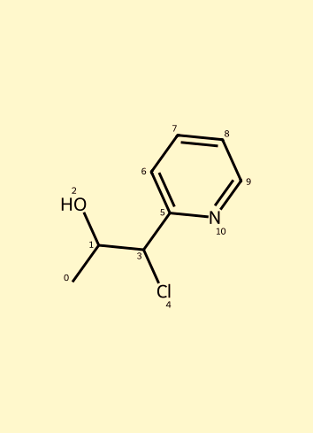 CC(O)C(Cl)c1ccccn1